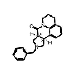 O=C1[C@@H]2CN(Cc3ccccc3)C[C@@H]2c2cccc3c2N1CCC3